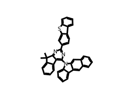 CC1(C)c2ccccc2-c2c(-n3c4ccccc4c4cc5ccccc5cc43)nc(-c3ccc4c(c3)sc3ccccc34)nc21